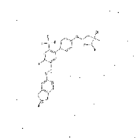 C[C@@H]1Cc2cnc(OCc3cc(-c4ccc(OCCC(C)(O)C(F)F)cc4)c(C(F)(F)F)cc3F)cc2C1